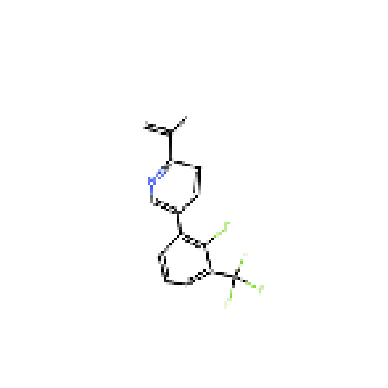 C=C(C)c1ccc(-c2cccc(C(F)(F)F)c2F)cn1